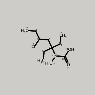 CCC(Cl)CC(CC)(CC)N(C)C(=O)O